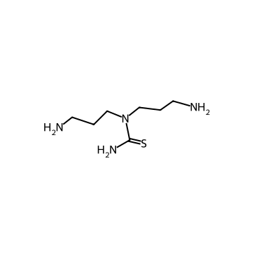 NCCCN(CCCN)C(N)=S